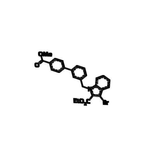 CCOC(=O)c1c(Br)c2ccccc2n1Cc1cccc(-c2ccc(C(=O)OC)cc2)c1